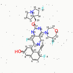 C#Cc1c(F)ccc2cc(O)cc(-c3ncc4c(N5CCOC[C@@H](F)C5)nc(OC[C@@]56CCCN5C[C@H](F)C6)nc4c3F)c12